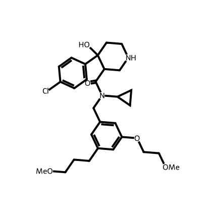 COCCCc1cc(CN(C(=O)C2CNCCC2(O)c2ccc(Cl)cc2)C2CC2)cc(OCCOC)c1